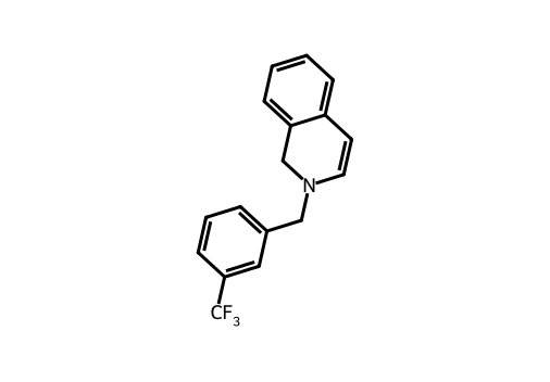 FC(F)(F)c1cccc(CN2C=Cc3ccccc3C2)c1